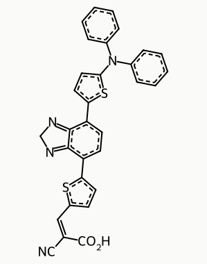 N#C/C(=C/c1ccc(-c2ccc(-c3ccc(N(c4ccccc4)c4ccccc4)s3)c3c2=NCN=3)s1)C(=O)O